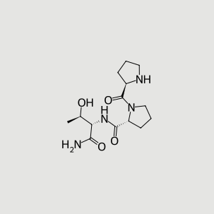 C[C@@H](O)[C@H](NC(=O)[C@H]1CCCN1C(=O)[C@H]1CCCN1)C(N)=O